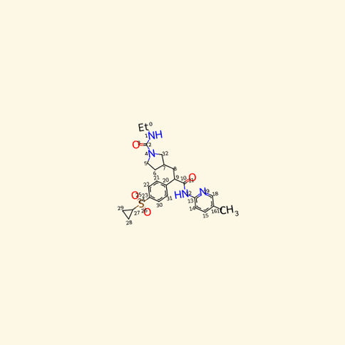 CCNC(=O)N1CCC(CC(C(=O)Nc2ccc(C)cn2)c2ccc(S(=O)(=O)C3CC3)cc2)C1